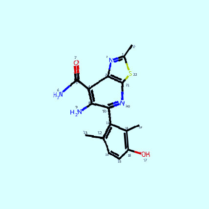 Cc1nc2c(C(N)=O)c(N)c(-c3c(C)ccc(O)c3C)nc2s1